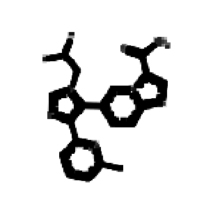 Cc1cccc(-c2ncn(CC(F)F)c2-c2ccc3ncc(C(N)=O)n3c2)n1